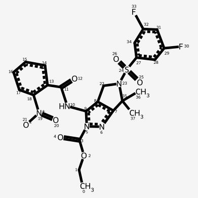 CCOC(=O)n1nc2c(c1NC(=O)c1ccccc1[N+](=O)[O-])CN(S(=O)(=O)c1cc(F)cc(F)c1)C2(C)C